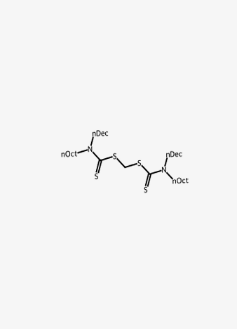 CCCCCCCCCCN(CCCCCCCC)C(=S)SCSC(=S)N(CCCCCCCC)CCCCCCCCCC